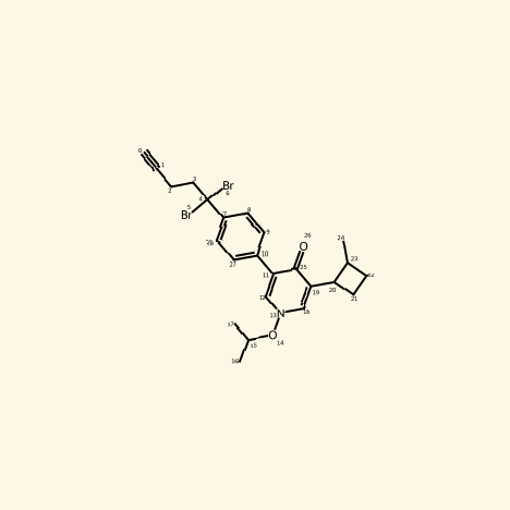 C#CCCC(Br)(Br)c1ccc(-c2cn(OC(C)C)cc(C3CCC3C)c2=O)cc1